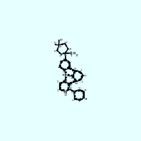 BC1(c2ccc3c(c2)c2cccc4c5c(-c6ccccc6)nccc5n3c24)CCC(C)(C)CC1